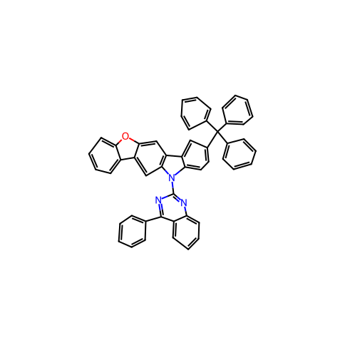 c1ccc(-c2nc(-n3c4ccc(C(c5ccccc5)(c5ccccc5)c5ccccc5)cc4c4cc5oc6ccccc6c5cc43)nc3ccccc23)cc1